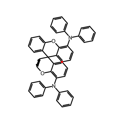 c1ccc(N(c2ccccc2)c2cccc3c2Oc2ccccc2C32c3ccccc3Oc3c(N(c4ccccc4)c4ccccc4)cccc32)cc1